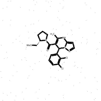 COC[C@@H]1CCCN1C(=O)C1=C(C)Nc2ccnn2C1c1cccc(Cl)c1Cl